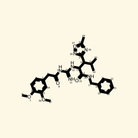 COc1ccc(CC(=O)NC(=N)NC(C(=O)NCc2ccccc2)C(c2noc(C)n2)C(C)C)cc1OC